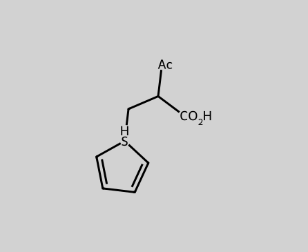 CC(=O)C(C[SH]1C=CC=C1)C(=O)O